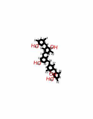 Cc1cc(C)c(Cc2c(C)c(Cc3cc(O)cc(Cc4cc(C)c(O)c(Cc5cc(O)c(C)cc5C)c4C)c3C)cc(C)c2O)cc1O